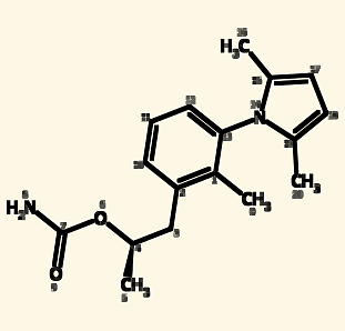 Cc1c(C[C@@H](C)OC(N)=O)cccc1-n1c(C)ccc1C